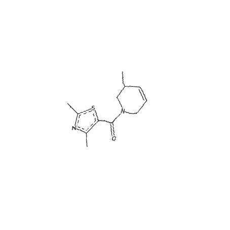 Cc1nc(C)c(C(=O)N2CC=CC(C)C2)s1